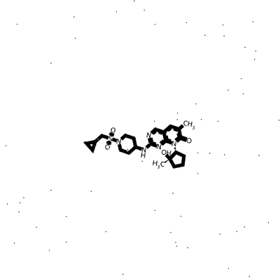 Cc1cc2cnc(NC3CCN(S(=O)(=O)CC4CC4)CC3)nc2n([C@@H]2CCC[C@@]2(C)O)c1=O